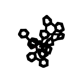 c1ccc(-c2cccc(N(c3ccc4c(c3)C3(c5ccccc5-c5ccccc5-4)c4ccccc4-c4cc5c(cc43)sc3ccccc35)c3cccc4c3N(c3ccccc3)c3ccccc3-c3ccccc3-4)c2)cc1